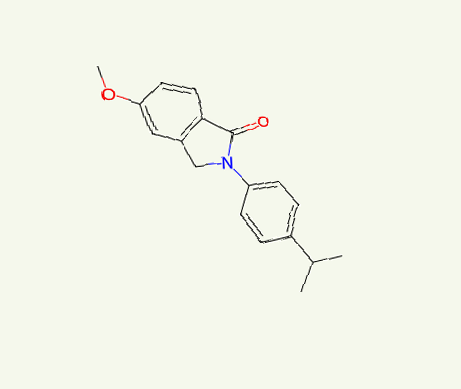 COc1ccc2c(c1)CN(c1ccc(C(C)C)cc1)C2=O